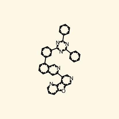 c1ccc(-c2nc(-c3ccccc3)nc(-c3cccc(-c4cccc5cc(-c6cncc7oc8cccnc8c67)ncc45)c3)n2)cc1